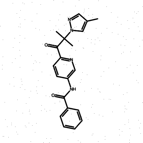 Cc1cnn(C(C)(C)C(=O)c2ccc(NC(=O)c3ccccc3)cn2)c1